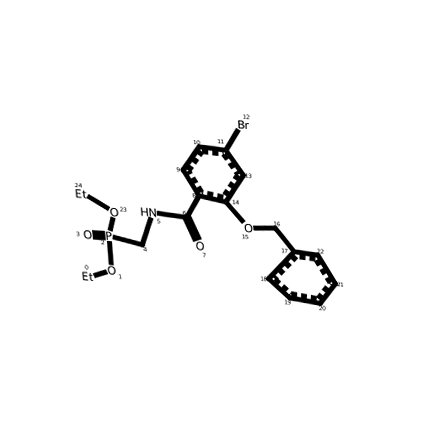 CCOP(=O)(CNC(=O)c1ccc(Br)cc1OCc1ccccc1)OCC